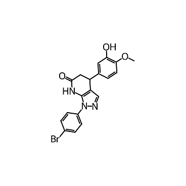 COc1ccc(C2CC(=O)Nc3c2cnn3-c2ccc(Br)cc2)cc1O